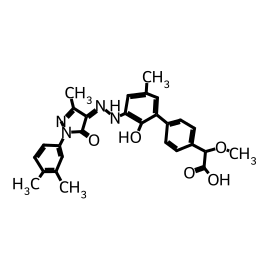 COC(C(=O)O)c1ccc(-c2cc(C)cc(N/N=C3\C(=O)N(c4ccc(C)c(C)c4)N=C3C)c2O)cc1